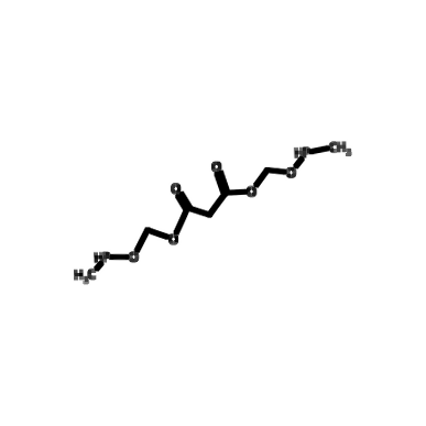 CPOCOC(=O)CC(=O)OCOPC